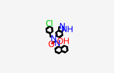 O=C(N(O)c1cccc2ccccc12)N(Cc1ccc(Cl)cc1)c1ccc2[nH]ncc2c1